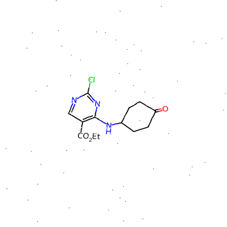 CCOC(=O)c1cnc(Cl)nc1NC1CCC(=O)CC1